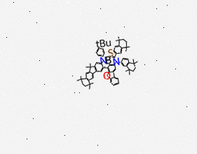 CC(C)(C)c1ccc(N2B3c4sc5cc6c(cc5c4N(c4ccc5c(c4)C(C)(C)CCC5(C)C)c4cc5c(oc7ccccc75)c(c43)-c3cc4c(cc32)C(C)(C)c2cc3c(cc2-4)C(C)(C)CCC3(C)C)C(C)(C)CCC6(C)C)cc1